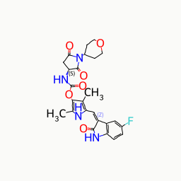 Cc1[nH]c(/C=C2\C(=O)Nc3ccc(F)cc32)c(C)c1OC(=O)N[C@H]1CC(=O)N(C2CCOCC2)C1=O